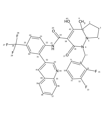 CC12CCCN1N(Cc1cccc(F)c1F)C(=O)C(C(=O)Nc1ccc(C(F)(F)F)cc1-c1cnc3ccccc3c1)=C2O